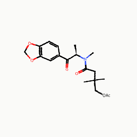 CC(=O)OCC(C)(C)CC(=O)N(C)[C@H](C)C(=O)c1ccc2c(c1)OCO2